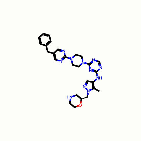 Cc1c(Nc2ncnc(N3CCN(c4ncc(Cc5ccccc5)cn4)CC3)n2)cnn1C[C@@H]1CNCCO1